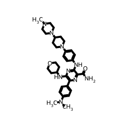 CN1CCN(C2CCN(c3ccc(Nc4nc(NC5CCOCC5)c(-c5ccc(N(C)C)cc5)nc4C(N)=O)cc3)CC2)CC1